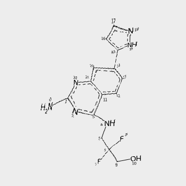 Nc1nc(NCC(F)(F)CO)c2ccc(-c3ccn[nH]3)cc2n1